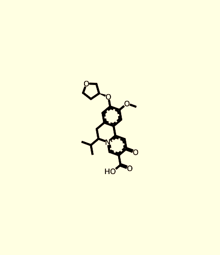 COc1cc2c(cc1O[C@H]1CCOC1)CC(C(C)C)n1cc(C(=O)O)c(=O)cc1-2